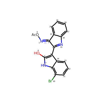 CC(=O)O/N=C1/C(c2c(O)[nH]c3c(Br)cccc23)=Nc2ccccc21